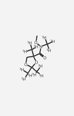 [3H]C([3H])([3H])N(OC)C(=O)C1(C([3H])([3H])[3H])COC(C([3H])([3H])[3H])(C([3H])([3H])[3H])O1